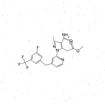 COC(=O)Cc1c(C(N)=O)c(C)nn1-c1cc(Cc2cc(F)cc(C(F)(F)F)c2)ccn1